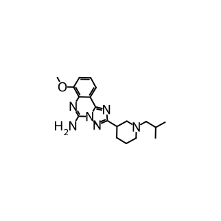 COc1cccc2c1nc(N)n1nc(C3CCCN(CC(C)C)C3)nc21